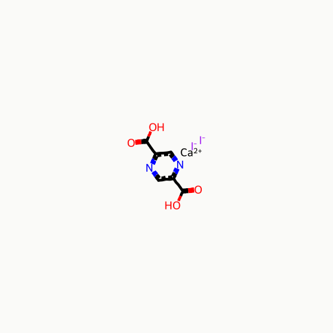 O=C(O)c1cnc(C(=O)O)cn1.[Ca+2].[I-].[I-]